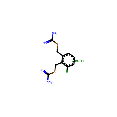 Br.Br.N=C(N)SCc1cccc(F)c1CSC(=N)N